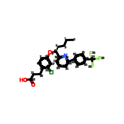 CCCC[C@@H](Oc1ccc(CCC(=O)O)c(Cl)c1)c1cccc(-c2ccc(C(F)(F)F)cc2)n1